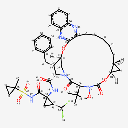 CON1C(=O)O[C@@H]2C[C@H]2CCCCCc2nc3ccccc3nc2O[C@H]2CN(C(=O)[C@@H]1C(C)(C)C)[C@H](C(=O)N[C@]1(C(=O)NS(=O)(=O)C3(C)CC3)C[C@H]1C(F)F)[C@@H]2Cc1ccccc1